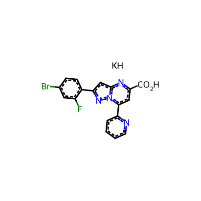 O=C(O)c1cc(-c2ccccn2)n2nc(-c3ccc(Br)cc3F)cc2n1.[KH]